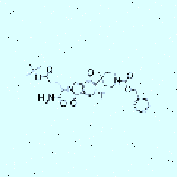 CC(C)(C)OC(=O)CC[C@@H](C(N)=O)N1Cc2c(cc(F)c3c2OCC32CCN(C(=O)OCc3ccccc3)CC2)C1=O